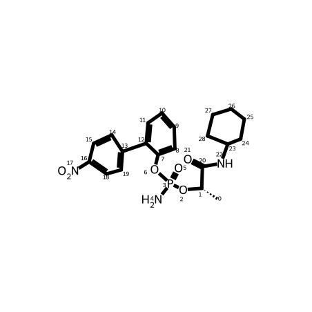 C[C@H](OP(N)(=O)Oc1ccccc1-c1ccc([N+](=O)[O-])cc1)C(=O)NC1CCCCC1